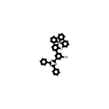 N#Cc1cc(-c2nc(-c3ccccc3)nc(-c3ccccc3)n2)cc(-c2cccc3c2Oc2ccccc2[Si]3(c2ccccc2)c2ccccc2)c1